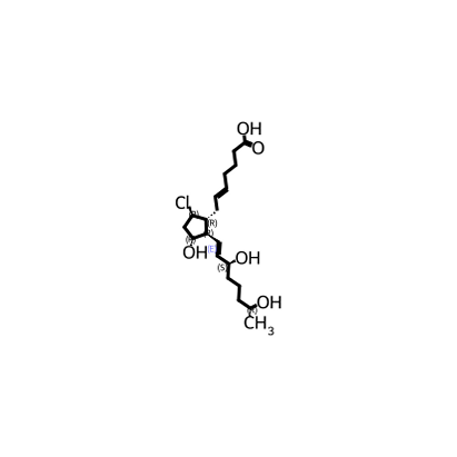 C[C@@H](O)CCC[C@H](O)/C=C/[C@@H]1[C@@H](CC=CCCCC(=O)O)[C@H](Cl)C[C@H]1O